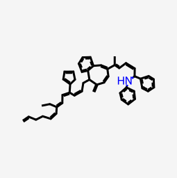 C=CCC\C=C/C(=C/C=C(\C=C/CC1C(=C)\C=C/C(C(/C)=C/C=C\C(Nc2ccccc2)c2ccccc2)=C\c2ccccc21)C1=CC=CC1)CC